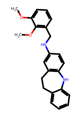 COc1cccc(CNc2ccc3c(c2)CCc2ccccc2N3)c1OC